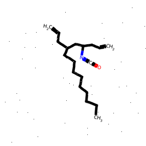 C=CCC(C[CH]CCCCCCC)CC(CC=C)N=C=O